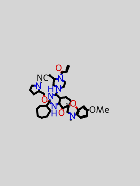 C=CC(=O)N1CCN(C2NC(OCC3CCCN3C)(C3CCCCCC3)NC3C(=O)[C@@]4(CCC32)CN(C)c2ccc(OC)cc2O4)CC1CC#N